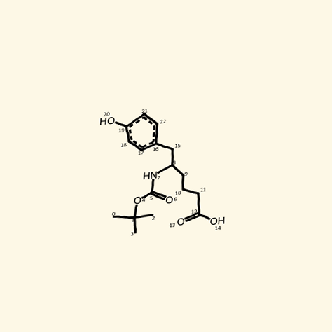 CC(C)(C)OC(=O)NC(CCCC(=O)O)Cc1ccc(O)cc1